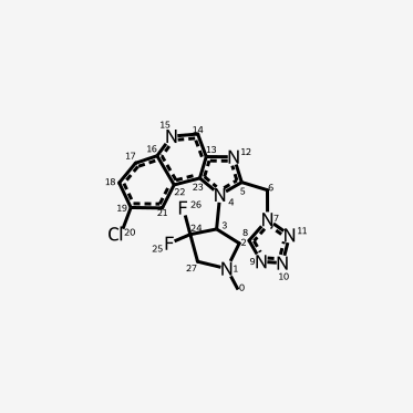 CN1CC(n2c(Cn3cnnn3)nc3cnc4ccc(Cl)cc4c32)C(F)(F)C1